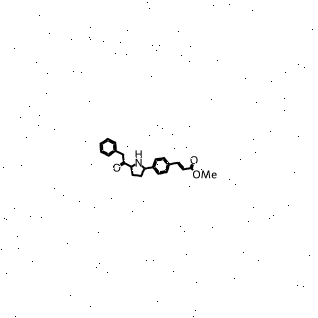 COC(=O)/C=C/c1ccc(C2CCC(C(=O)Cc3ccccc3)N2)cc1